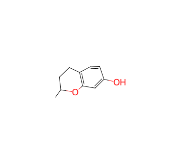 CC1CCc2ccc(O)cc2O1